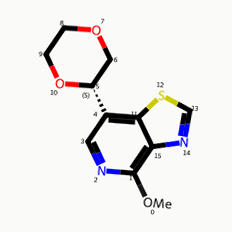 COc1ncc([C@H]2COCCO2)c2scnc12